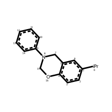 CC(C)c1ccc2c(c1)CN(c1ccccc1)CO2